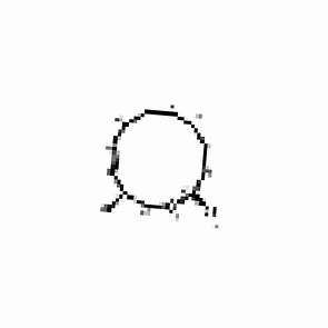 CC1C=CCCCCCCC(=O)OC1